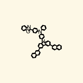 c1ccc(N(c2ccc(-c3nc4ccccc4o3)cc2)c2ccc(-n3c4ccc(-c5ccc6ccccc6c5)cc4c4cc(-c5ccc6ccccc6c5)ccc43)cc2)cc1